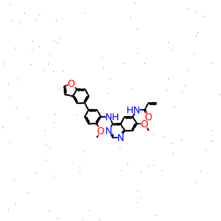 C=CC(=O)Nc1cc2c(Nc3cc(-c4ccc5occc5c4)ccc3OC)ncnc2cc1OC